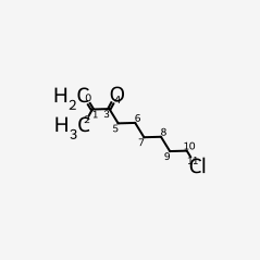 C=C(C)C(=O)CCCCCCCl